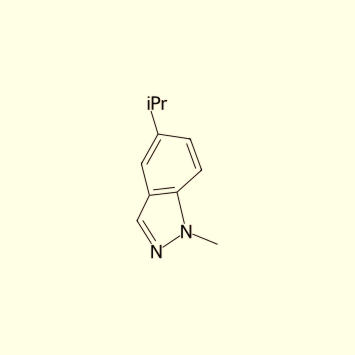 CC(C)c1ccc2c(cnn2C)c1